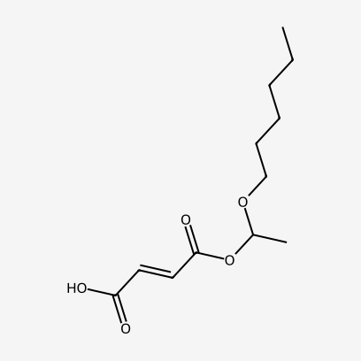 CCCCCCOC(C)OC(=O)/C=C/C(=O)O